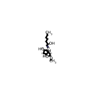 CCCCC[C@H](O)/C=C/[C@@H]1[C@H]2C[C@H](OC)O[C@H]2C[C@H]1O